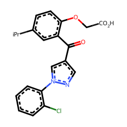 CC(C)c1ccc(OCC(=O)O)c(C(=O)c2cnn(-c3ccccc3Cl)c2)c1